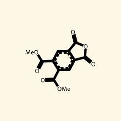 COC(=O)c1cc2c(cc1C(=O)OC)C(=O)OC2=O